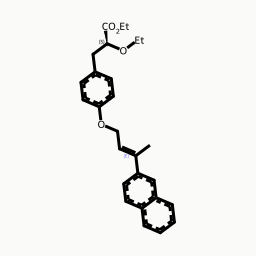 CCOC(=O)[C@H](Cc1ccc(OC/C=C(\C)c2ccc3ccccc3c2)cc1)OCC